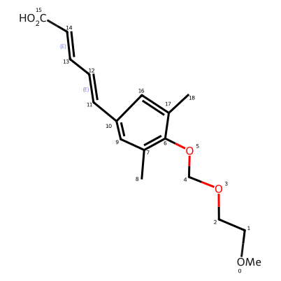 COCCOCOc1c(C)cc(/C=C/C=C/C(=O)O)cc1C